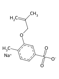 C=C(C)COc1cc(S(=O)(=O)[O-])ccc1C.[Na+]